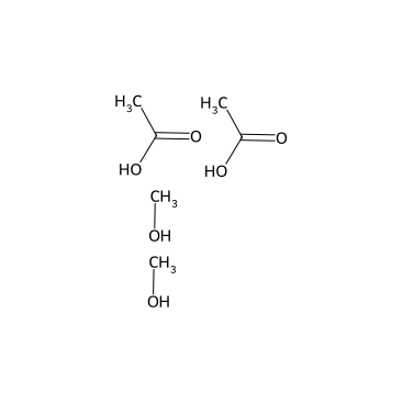 CC(=O)O.CC(=O)O.CO.CO